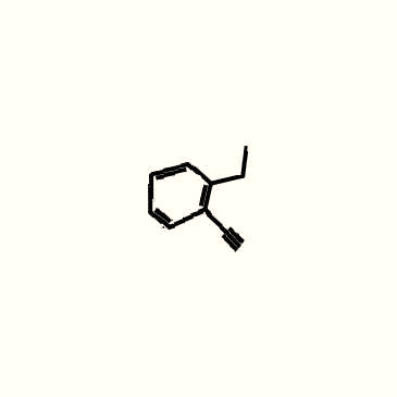 C#Cc1[c]cccc1CC